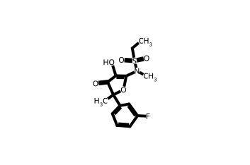 CCS(=O)(=O)N(C)C1=C(O)C(=O)C(C)(c2cccc(F)c2)O1